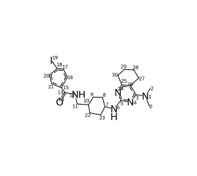 CN(C)c1nc(NC2CCC(CNC(=O)c3ccc(I)cc3)CC2)nc2c1CCCC2